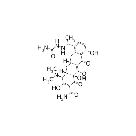 CC(NNC(N)=O)c1ccc(O)c2c1C[C@H]1C[C@H]3[C@H](N(C)C)C(O)=C(C(N)=O)C(=O)[C@@]3(O)C(O)=C1C2=O